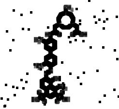 Cc1cc(-c2ccc(NC(=O)CN3CCN(C)CCN(CC(=O)O)CC3)c(C)c2)ccc1N=Nc1ccc2c(S(=O)(=O)O)cc(S(=O)(=O)O)c(N)c2c1O